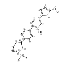 COc1nnc(-c2ccc(-c3cnc(N4CCN[C@@H](C(C)C)C4)nn3)c(O)c2)s1